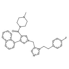 CN1CCN(C(=O)c2cn(Cc3cncn3CCc3ccc(F)cc3)cc2-c2cccc3ccccc23)CC1